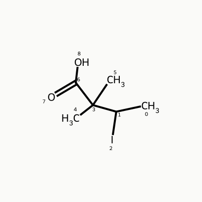 CC(I)C(C)(C)C(=O)O